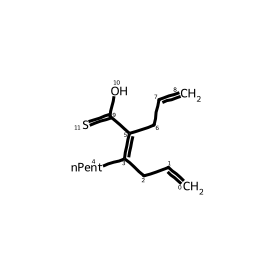 C=CCC(CCCCC)=C(CC=C)C(O)=S